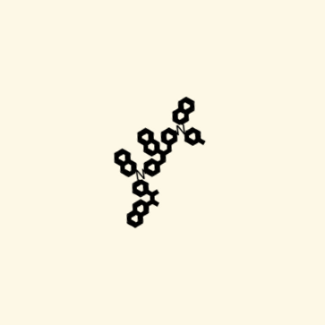 Cc1ccc(N(c2cccc(C/C(=C/c3ccc(N(c4cccc(C(C)C(C)c5ccc6ccccc6c5)c4)c4ccc5ccccc5c4)cc3)c3ccc4ccccc4c3)c2)c2ccc3ccccc3c2)cc1